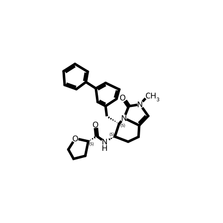 Cn1cc2n(c1=O)[C@@H](Cc1cccc(-c3ccccc3)c1)[C@@H](NC(=O)[C@@H]1CCCO1)CC2